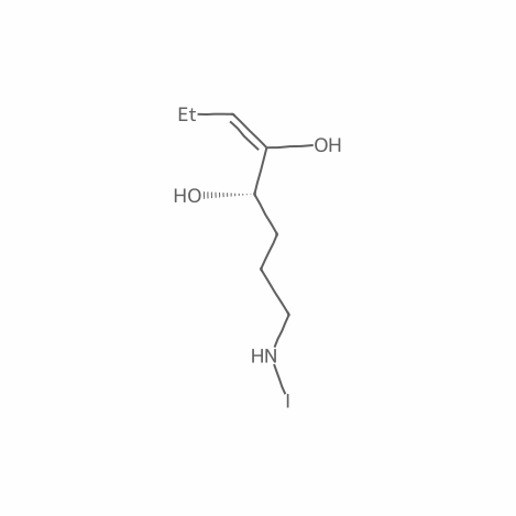 CC/C=C(/O)[C@@H](O)CCCNI